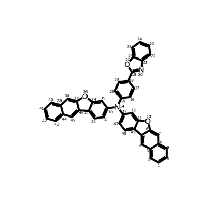 c1ccc2cc3c(cc2c1)oc1cc(N(c2ccc(-c4nc5ccccc5o4)cc2)c2ccc4c(c2)oc2cc5ccccc5cc24)ccc13